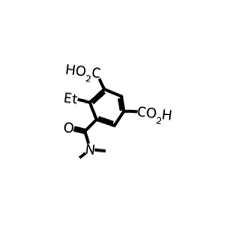 CCc1c(C(=O)O)cc(C(=O)O)cc1C(=O)N(C)C